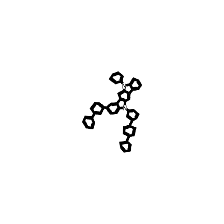 c1ccc(-c2ccc(-c3cccc(-n4c5ccc(-c6cccc(-c7ccccc7)c6)cc5c5cc6c(cc54)c4ccccc4n6-c4ccccc4)c3)cc2)cc1